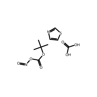 CC(C)(C)OC(=O)ON=O.O=C(O)O.c1cscn1